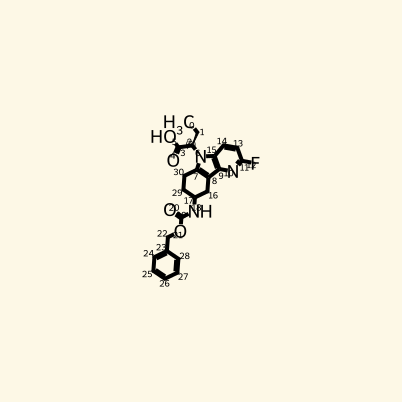 CC[C@H](C(=O)O)n1c2c(c3nc(F)ccc31)CC(NC(=O)OCc1ccccc1)CC2